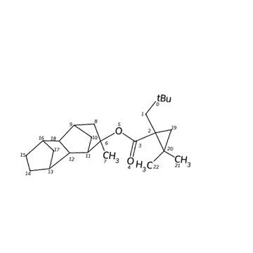 CC(C)(C)CC1(C(=O)OC2(C)CC3CC2C2C4CCC(C4)C32)CC1(C)C